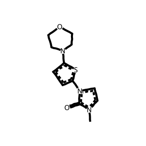 Cn1ccn(-c2ccc(N3CCOCC3)s2)c1=O